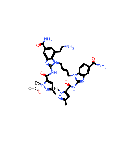 CCn1nc(C)cc1C(=O)Nc1nc2cc(C(N)=O)ccc2n1C/C=C/Cn1c(NC(=O)c2cc(C)nn2CC)nc2cc(C(N)=O)cc(CCN)c21.O=CO